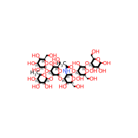 CC(=O)N[C@H]1[C@H](O[C@H]2[C@@H](O)[C@@H](CO)O[C@@H](O[C@H]3[C@H](O)[C@@H](O)C(O)O[C@@H]3CO)[C@@H]2O)O[C@H](CO)[C@@H](O)[C@@H]1O[C@@H]1O[C@H](CO)[C@H](O)[C@H](O[C@@H]2O[C@H](CO)[C@H](O)[C@H](O)[C@H]2O)[C@H]1O[C@@H]1O[C@@H](C)[C@@H](O)[C@@H](O)[C@@H]1O